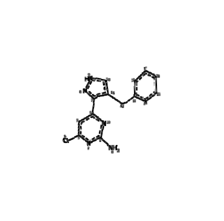 Nc1nc(Cl)cc(-c2n[nH]cc2Cc2ccccc2)n1